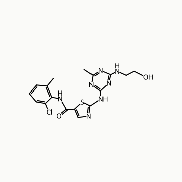 Cc1nc(NCCO)nc(Nc2ncc(C(=O)Nc3c(C)cccc3Cl)s2)n1